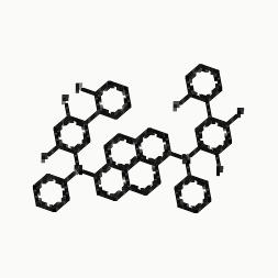 Fc1ccccc1-c1cc(N(c2ccccc2)c2ccc3ccc4c(N(c5ccccc5)c5cc(-c6ccccc6F)c(F)cc5F)ccc5ccc2c3c54)c(F)cc1F